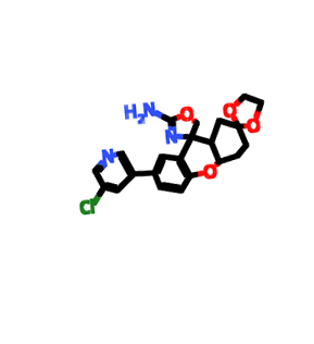 NC1=NC2(CO1)c1cc(-c3cncc(Cl)c3)ccc1OC1CCC3(CC12)OCCO3